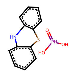 O=[PH](O)O.c1ccc2c(c1)Nc1ccccc1S2